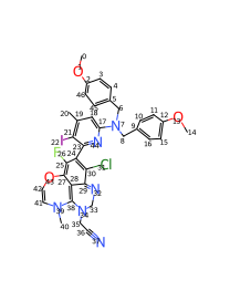 COc1ccc(CN(Cc2ccc(OC)cc2)c2cc(C)c(I)c(-c3c(F)c4c5c(c3Cl)=NCN(CC#N)C=5N(C)C=CO4)n2)cc1